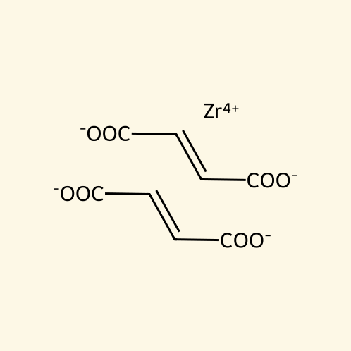 O=C([O-])C=CC(=O)[O-].O=C([O-])C=CC(=O)[O-].[Zr+4]